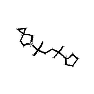 CC(C)(CCC(C)(C)N1CCC2(CC2)C1)C1CCCC1